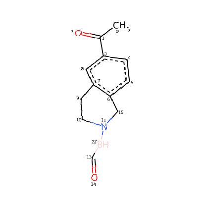 CC(=O)c1ccc2c(c1)CCN(BC=O)C2